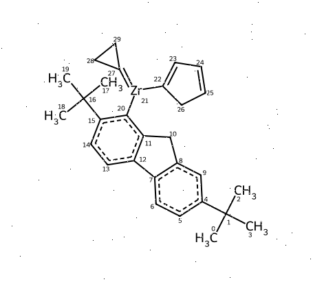 CC(C)(C)c1ccc2c(c1)Cc1c-2ccc(C(C)(C)C)[c]1[Zr]([C]1=CC=CC1)=[C]1CC1